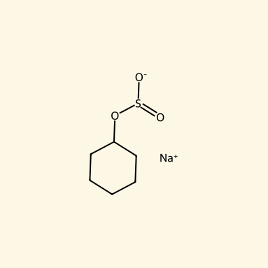 O=S([O-])OC1CCCCC1.[Na+]